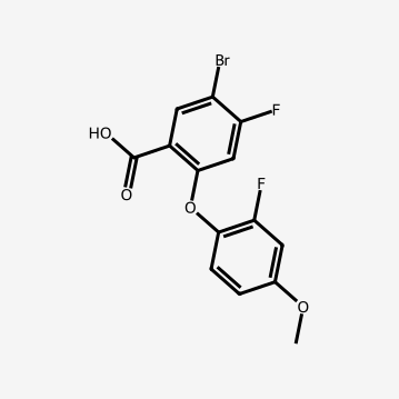 COc1ccc(Oc2cc(F)c(Br)cc2C(=O)O)c(F)c1